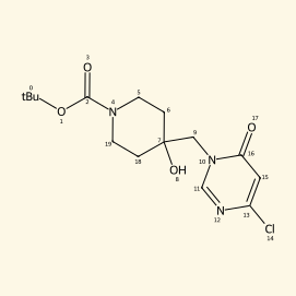 CC(C)(C)OC(=O)N1CCC(O)(Cn2cnc(Cl)cc2=O)CC1